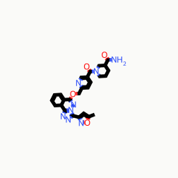 Cc1cc(-c2nnc3n2N=C(OCc2ccc(C(=O)N4CCCC(C(N)=O)C4)cn2)C2=CC=CCC23)no1